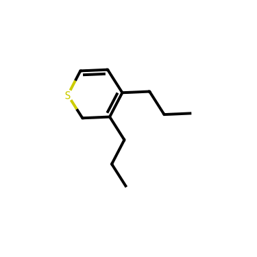 CCCC1=C(CCC)CSC=C1